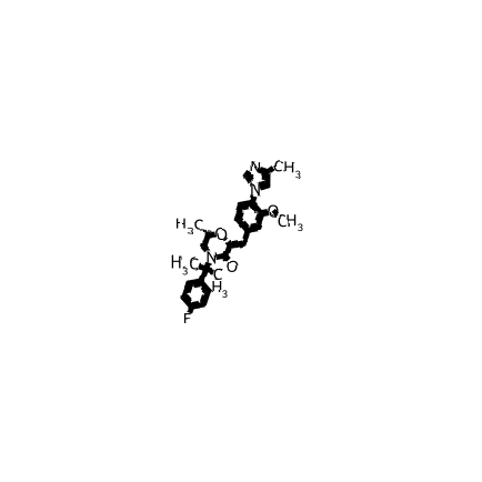 COc1cc(C=C2O[C@@H](C)CN(C(C)(C)c3ccc(F)cc3)C2=O)ccc1-n1cnc(C)c1